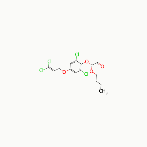 CCCCOC(C=O)Oc1c(Cl)cc(OCC=C(Cl)Cl)cc1Cl